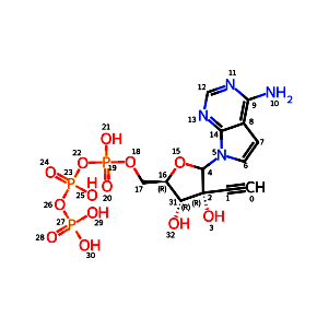 C#C[C@]1(O)C(n2ccc3c(N)ncnc32)O[C@H](COP(=O)(O)OP(=O)(O)OP(=O)(O)O)[C@H]1O